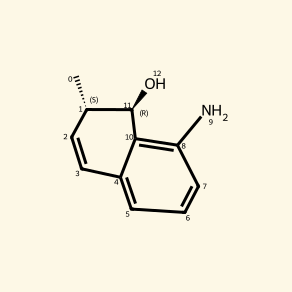 C[C@H]1C=Cc2cccc(N)c2[C@@H]1O